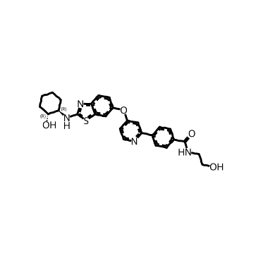 O=C(NCCO)c1ccc(-c2cc(Oc3ccc4nc(N[C@@H]5CCCC[C@H]5O)sc4c3)ccn2)cc1